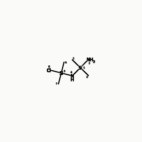 C[Si](C)(N)N[Si](C)(C)Cl